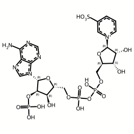 Nc1ncnc2c1ncn2[C@@H]1O[C@H](COP(=O)(O)OP(=O)(O)OC[C@H]2O[C@@H]([n+]3cccc(S(=O)(=O)O)c3)[C@H](O)[C@@H]2O)[C@@H](O)[C@H]1OP(=O)(O)O